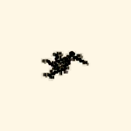 CCCC[C@H](NC(=O)[C@H](CCC(N)=O)NC(=O)[C@H](CCCCN)NC(=O)[C@H](CCCNC(=N)N)NC(=O)[C@@H](NC(=O)CNC(=O)[C@H](CC(C)C)NC(=O)[C@@H]1CCCN1C(=O)[C@@H](N)CCCCN)C(C)C)C(=O)O